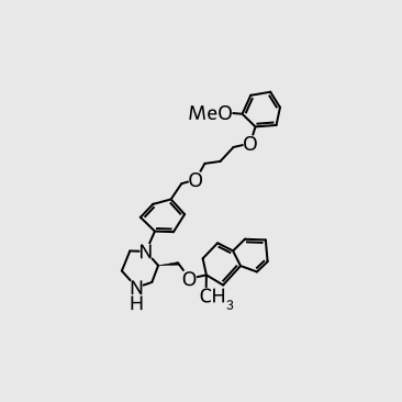 COc1ccccc1OCCCOCc1ccc(N2CCNC[C@@H]2COC2(C)C=c3ccccc3=CC2)cc1